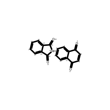 O=C1C=CC(=O)c2ccccc21.O=C1NC(=O)c2ccccc21